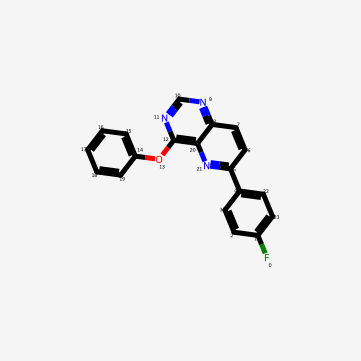 Fc1ccc(-c2ccc3ncnc(Oc4ccccc4)c3n2)cc1